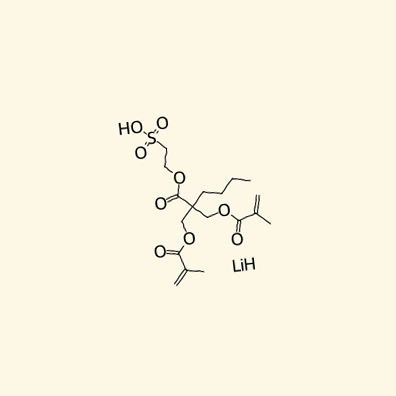 C=C(C)C(=O)OCC(CCCC)(COC(=O)C(=C)C)C(=O)OCCS(=O)(=O)O.[LiH]